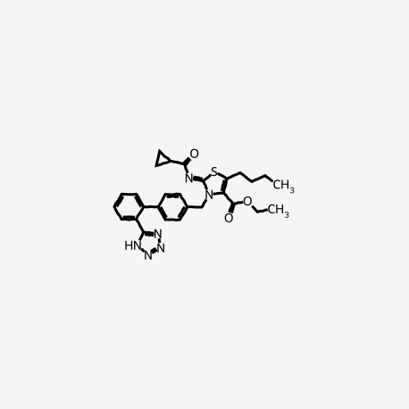 CCCCc1sc(=NC(=O)C2CC2)n(Cc2ccc(-c3ccccc3-c3nnn[nH]3)cc2)c1C(=O)OCC